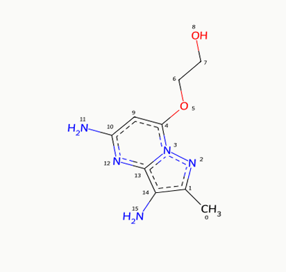 Cc1nn2c(OCCO)cc(N)nc2c1N